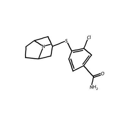 CN1C2CCC1CC(Sc1ccc(C(N)=O)cc1Cl)C2